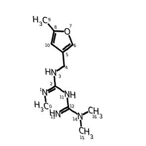 C/N=C(/NCc1coc(C)c1)NC(=N)N(C)C